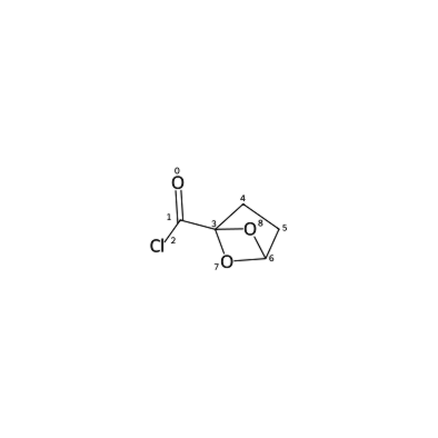 O=C(Cl)C12CCC(O1)O2